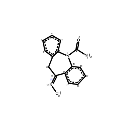 NC(=O)N1c2ccccc2C/C(=N/O)c2ccccc21